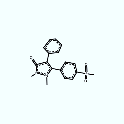 Cn1c(-c2ccc(S(C)(=O)=O)cc2)c(-c2ccccc2)c(=O)n1C